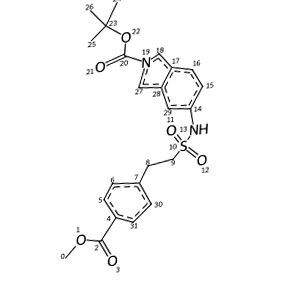 COC(=O)c1ccc(CCS(=O)(=O)Nc2ccc3cn(C(=O)OC(C)(C)C)cc3c2)cc1